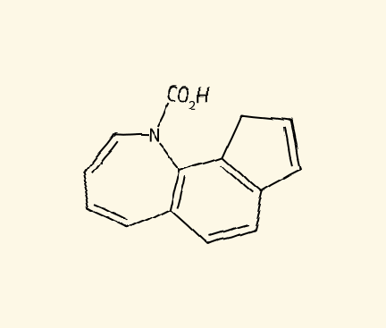 O=C(O)N1C=CC=Cc2ccc3c(c21)CC=C3